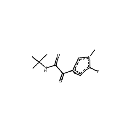 Cn1cc(C(=O)C(=O)NC(C)(C)C)cc1F